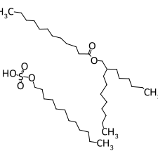 CCCCCCCCCCCC(=O)OCC(CCCCCC)CCCCCCCC.CCCCCCCCCCCCOS(=O)(=O)O